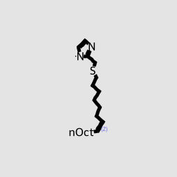 CCCCCCCC/C=C\CCCCCCSCC1=NC=C[N]1